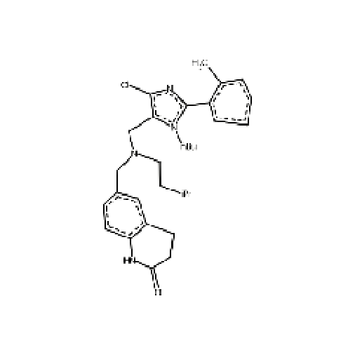 CCCCn1c(-c2ccccc2C)nc(Cl)c1CN(CCC(C)C)Cc1ccc2c(c1)CCC(=O)N2